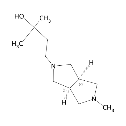 CN1C[C@@H]2CN(CCC(C)(C)O)C[C@@H]2C1